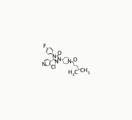 CC(C)CCC(=O)N1CCC(n2nc(-c3ccncc3Cl)n(-c3ccc(F)cc3)c2=O)CC1